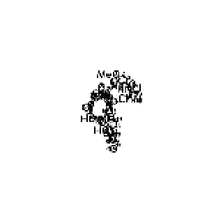 COc1ccc(C(=O)Nc2c(Cl)cncc2Cl)cc1OCCCN1C(=O)O[C@]2(C)[C@@H](I)OC(=O)[C@H](C)[C@@H](O)[C@H](C)[C@@H](O[C@@H]3O[C@H](C)C[C@H](N(C)C(=O)N4CCOCC4)[C@H]3O)[C@@]3(C)C[C@@H](CO3)C(=O)[C@H](C)[C@@H]12